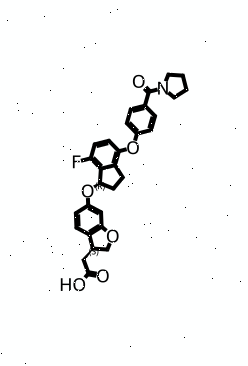 O=C(O)C[C@@H]1COc2cc(O[C@@H]3CCc4c(Oc5ccc(C(=O)N6CCCC6)cc5)ccc(F)c43)ccc21